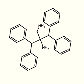 NCC(N)(C(c1ccccc1)c1ccccc1)C(c1ccccc1)c1ccccc1